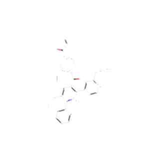 C=CC(=O)N1CCN2C(=O)c3c(-c4ccnc(COC)c4)nc(-c4c(O)cccc4F)c(Cl)c3OCC2C1